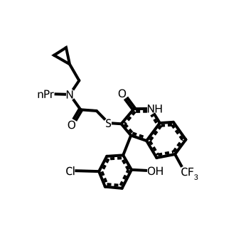 CCCN(CC1CC1)C(=O)CSc1c(-c2cc(Cl)ccc2O)c2cc(C(F)(F)F)ccc2[nH]c1=O